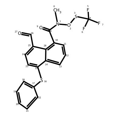 CN(OSC(F)(F)F)C(=O)c1cccc2c(Sc3ccccc3)ccc(C=O)c12